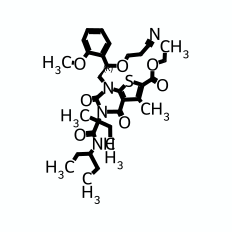 CCOC(=O)c1sc2c(c1C)c(=O)n(C(C)(CC)C(=O)NC(CC)CC)c(=O)n2C[C@H](OCCC#N)c1ccccc1OC